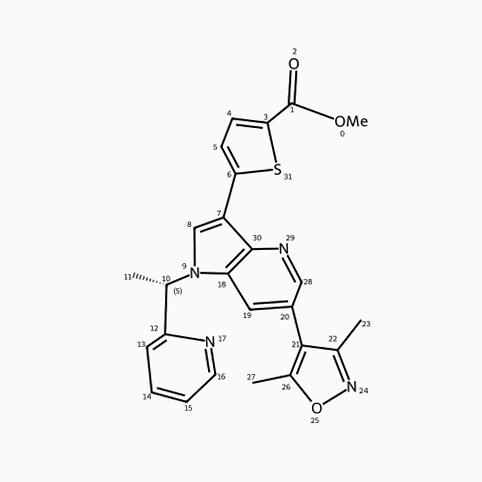 COC(=O)c1ccc(-c2cn([C@@H](C)c3ccccn3)c3cc(-c4c(C)noc4C)cnc23)s1